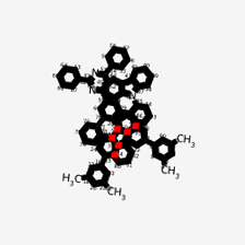 Cc1cc(C)cc(-c2ccc3c(c2)c2cc(-c4cc(C)cc(C)c4)ccc2n3-c2c(-c3ccccc3-n3c4ccccc4c4ccccc43)cc(-c3cc(-c4ccccc4)nc(-c4ccccc4)n3)cc2-c2ccccc2-n2c3ccccc3c3ccccc32)c1